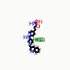 Cl.Cl.Cl.O=C(/C=C/c1ccc(N[C@@H]2CCN(Cc3cnc4ccccc4c3)C2)nc1)NO